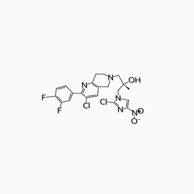 C[C@](O)(CN1CCc2nc(-c3ccc(F)c(F)c3)c(Cl)cc2C1)Cn1cc([N+](=O)[O-])nc1Cl